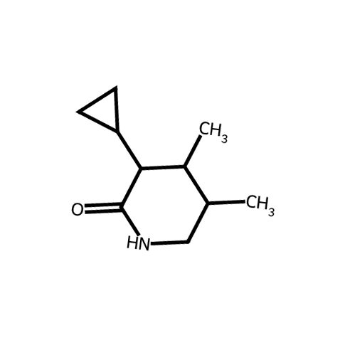 CC1CNC(=O)C(C2CC2)C1C